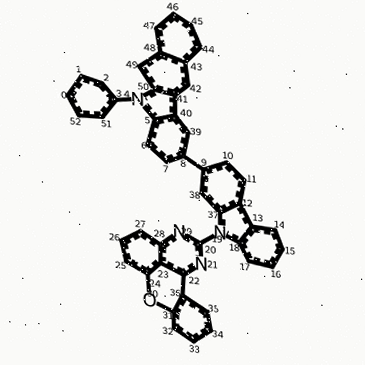 c1ccc(-n2c3ccc(-c4ccc5c6ccccc6n(-c6nc7c8c(cccc8n6)Oc6ccccc6-7)c5c4)cc3c3cc4ccccc4cc32)cc1